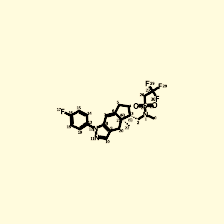 CN(C[C@H]1CCC2=Cc3c(cnn3-c3ccc(F)cc3)C[C@@]21C)S(=O)(=O)CC(F)(F)F